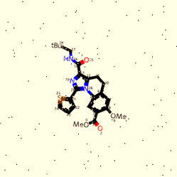 COC(=O)c1cc2c(cc1OC)CCc1c(C(=O)NCC(C)(C)C)nc(-c3cccs3)n1-2